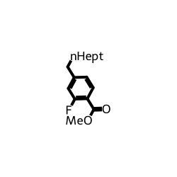 CCCCCCCCc1ccc(C(=O)OC)c(F)c1